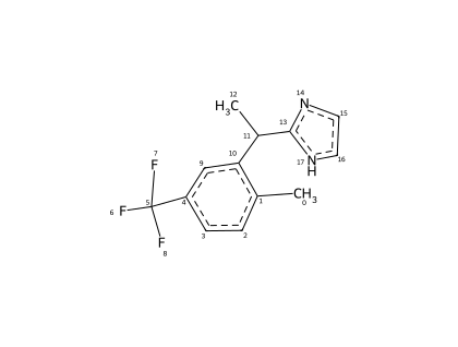 Cc1ccc(C(F)(F)F)cc1C(C)c1ncc[nH]1